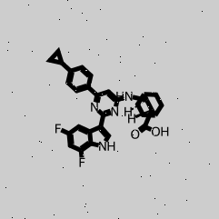 O=C(O)[C@H]1C2CCC(CC2)[C@@H]1Nc1cc(-c2ccc(C3CC3)cc2)nc(-c2c[nH]c3c(F)cc(F)cc23)n1